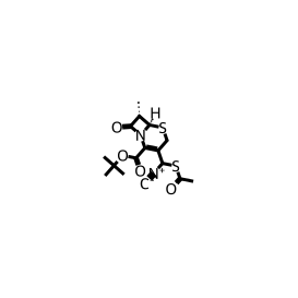 [C-]#[N+]C(SC(C)=O)C1=C(C(=O)OC(C)(C)C)N2C(=O)[C@H](C)[C@H]2SC1